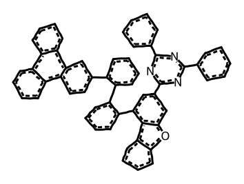 c1ccc(-c2nc(-c3ccccc3)nc(-c3cc(-c4ccccc4-c4ccccc4-c4ccc5c6ccccc6c6ccccc6c5c4)c4c(c3)oc3ccccc34)n2)cc1